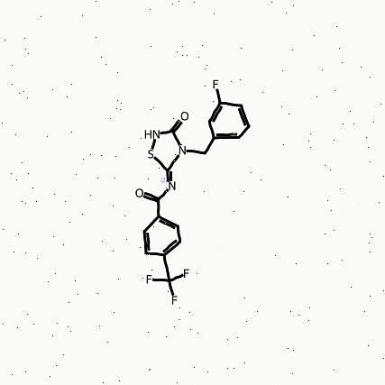 O=C(/N=c1\s[nH]c(=O)n1Cc1cccc(F)c1)c1ccc(C(F)(F)F)cc1